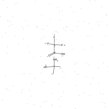 CCCC(C)(C)N.O=C(O)C(F)(F)F